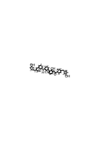 Cc1c(Nc2nccc3cc(CN4CC[C@@H](O)C4)cnc23)cccc1-c1cccc(NC(=O)c2ccc(CN3CC[C@@H](O)C3)cn2)c1Cl